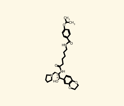 CC(C)Oc1ccc(C(=O)NCCCCCC(=O)N[C@H](CN2CCCC2)[C@H](O)c2ccc3c(c2)OCCO3)cc1